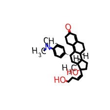 CN(C)c1ccc([C@H]2C[C@@]3(C)[C@@H](CC[C@@]3(O)/C=C\CCO)[C@@H]3CCC4=CC(=O)CCC4=C32)cc1